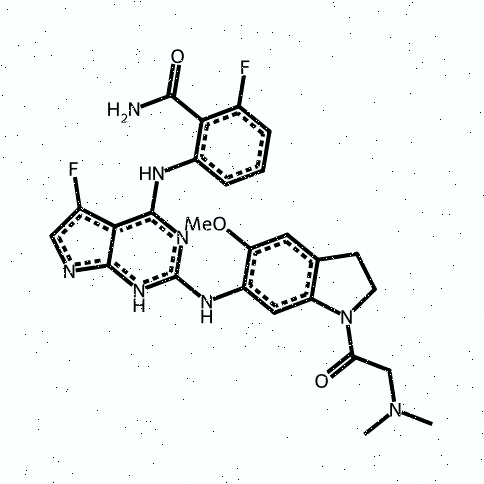 COc1cc2c(cc1Nc1nc(Nc3cccc(F)c3C(N)=O)c3c(F)cnc-3[nH]1)N(C(=O)CN(C)C)CC2